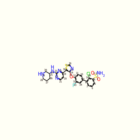 NS(=O)(=O)c1cccc(-c2ccc(Oc3ncsc3-c3ccnc(N[C@H]4CCCNC4)n3)c(F)c2)c1Cl